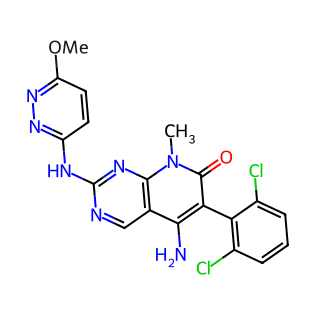 COc1ccc(Nc2ncc3c(N)c(-c4c(Cl)cccc4Cl)c(=O)n(C)c3n2)nn1